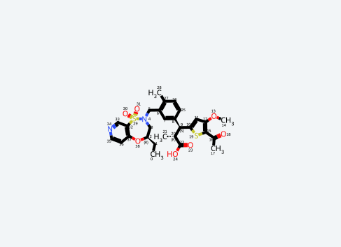 CC[C@@H]1CN(Cc2cc([C@@H](c3cc(OC)c(C(C)=O)s3)[C@@H](C)C(=O)O)ccc2C)S(=O)(=O)c2cnccc2O1